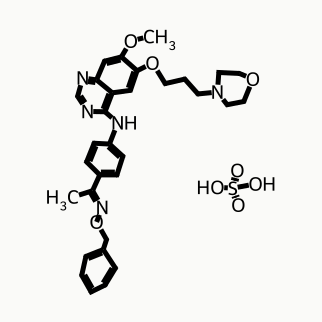 COc1cc2ncnc(Nc3ccc(C(C)=NOCc4ccccc4)cc3)c2cc1OCCCN1CCOCC1.O=S(=O)(O)O